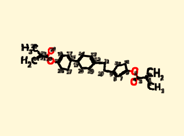 C=C(C)C(=O)OC1=CC=C(CCC2=CC=C(C3=CC=C(OC(=O)C(=C)C)CC3)CC2)CC1